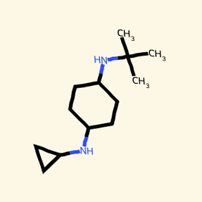 CC(C)(C)NC1CCC(NC2CC2)CC1